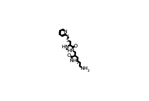 CNC(CSSc1ccccn1)C(=O)NCC(CCCCN)C(N)=O